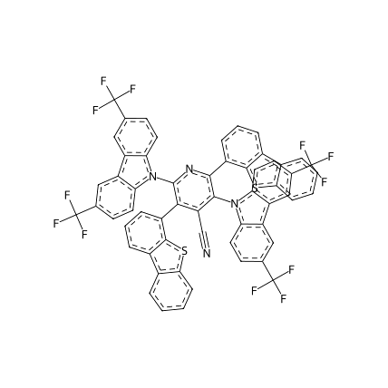 N#Cc1c(-c2cccc3c2sc2ccccc23)c(-n2c3ccc(C(F)(F)F)cc3c3cc(C(F)(F)F)ccc32)nc(-c2cccc3c2sc2ccccc23)c1-n1c2ccc(C(F)(F)F)cc2c2cc(C(F)(F)F)ccc21